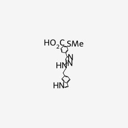 CSc1cc(-c2cc(NCCc3ccc4cc[nH]c4c3)ncn2)ccc1C(=O)O